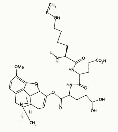 C=PNCCCC[C@H](NI)C(=O)NC(CCC(=O)O)C(=O)NC(CCC(O)O)C(=O)OC1=CC[C@H]2[C@H]3Cc4ccc(OC)c5c4[C@@]2(CCN3C)[C@H]1O5